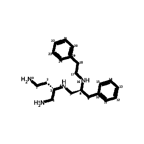 NCC[C@@H](CN)NC[C@H](Cc1ccccc1)NCCc1ccccc1